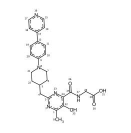 Cc1nc(CC2CCN(c3ccc(-c4ccncc4)cc3)CC2)nc(C(=O)NCC(=O)O)c1O